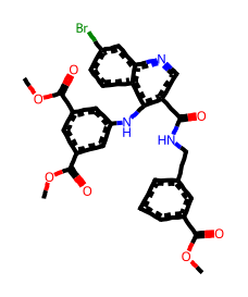 COC(=O)c1cccc(CNC(=O)c2cnc3cc(Br)ccc3c2Nc2cc(C(=O)OC)cc(C(=O)OC)c2)c1